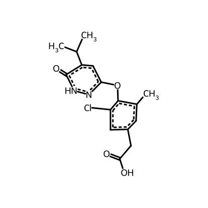 Cc1cc(CC(=O)O)cc(Cl)c1Oc1cc(C(C)C)c(=O)[nH]n1